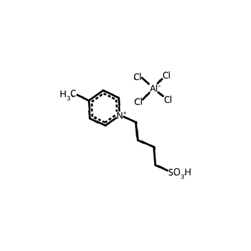 Cc1cc[n+](CCCCS(=O)(=O)O)cc1.[Cl][Al-]([Cl])([Cl])[Cl]